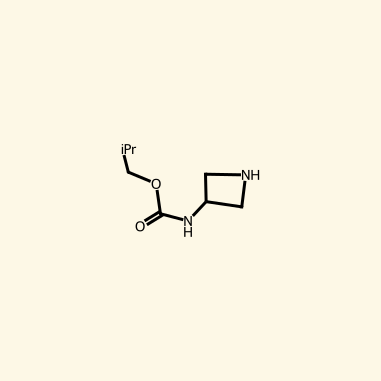 CC(C)COC(=O)NC1CNC1